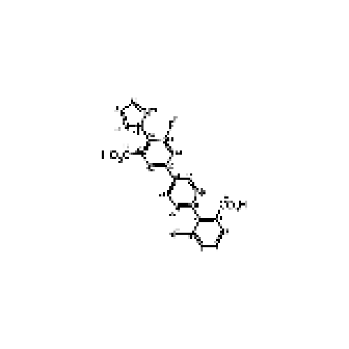 O=C(O)c1cccc(F)c1-c1ncc(-c2cc(F)c(-n3nccn3)c(C(=O)O)c2)cn1